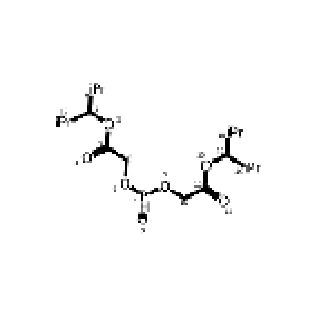 CC(C)C(OC(=O)CO[PH](=O)OCC(=O)OC(C(C)C)C(C)C)C(C)C